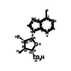 Cc1ncnc2c1ncn2[C@@H]1O[C@H](C(=O)O)[C@@H](C)[C@@H]1F